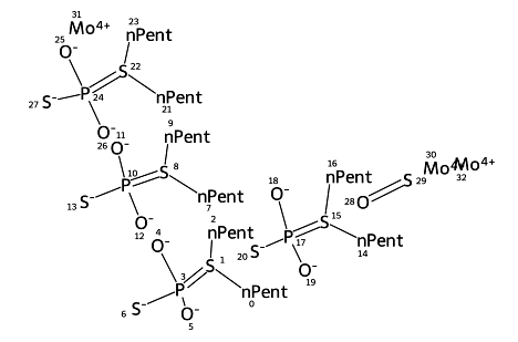 CCCCCS(CCCCC)=P([O-])([O-])[S-].CCCCCS(CCCCC)=P([O-])([O-])[S-].CCCCCS(CCCCC)=P([O-])([O-])[S-].CCCCCS(CCCCC)=P([O-])([O-])[S-].O=S.[Mo+4].[Mo+4].[Mo+4]